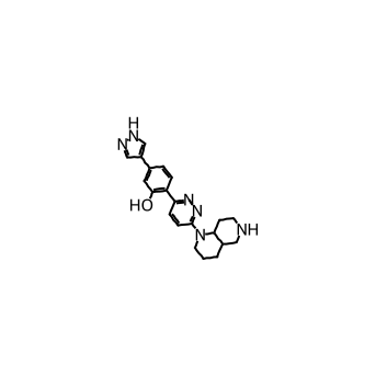 Oc1cc(-c2cn[nH]c2)ccc1-c1ccc(N2CCCC3CNCCC32)nn1